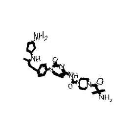 CC(Cc1ccc(-n2ccc(NC(=O)N3CCN(C(=O)C(C)(C)N)CC3)nc2=O)cc1)NC1CC[C@H](N)C1